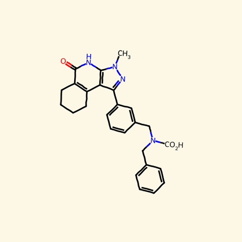 Cn1nc(-c2cccc(CN(Cc3ccccc3)C(=O)O)c2)c2c3c(c(=O)[nH]c21)CCCC3